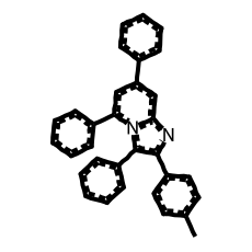 Cc1ccc(-c2nc3cc(-c4ccccc4)cc(-c4ccccc4)n3c2-c2ccccc2)cc1